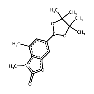 Cc1cc(B2OC(C)(C)C(C)(C)O2)cc2oc(=O)n(C)c12